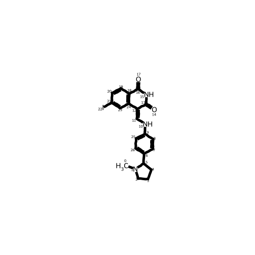 CN1CCCC1c1ccc(NC=C2C(=O)NC(=O)c3ccc(I)cc32)cc1